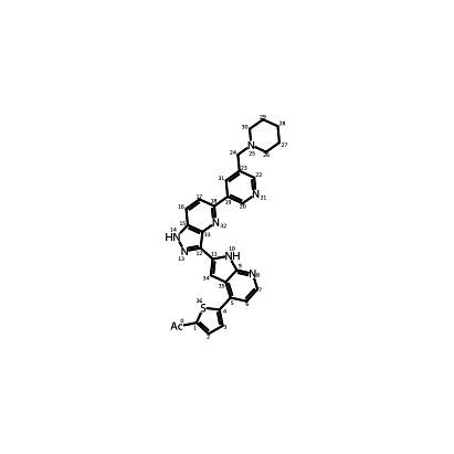 CC(=O)c1ccc(-c2ccnc3[nH]c(-c4n[nH]c5ccc(-c6cncc(CN7CCCCC7)c6)nc45)cc23)s1